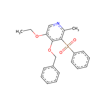 CCOc1cnc(C)c(S(=O)(=O)c2ccccc2)c1OCc1ccccc1